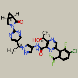 C[C@@H](c1cnc(N2C[C@H]3C[C@H]3C2=O)nc1)n1cc(NC(=O)c2nc(-c3c(C(F)F)ccc(Cl)c3F)cnc2[C@@H](O)C(F)(F)F)cn1